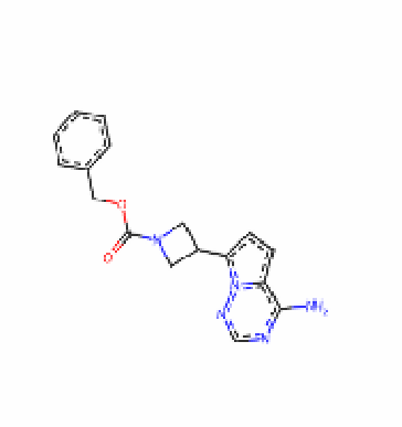 Nc1ncnn2c(C3CN(C(=O)OCc4ccccc4)C3)ccc12